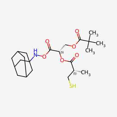 C[C@H](CS)C(=O)O[C@@H](COC(=O)C(C)(C)C)C(=O)ONC12CC3CC(CC(C3)C1)C2